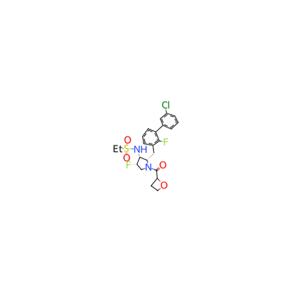 CCS(=O)(=O)N[C@H]1[C@@H](F)CN(C(=O)C2CCO2)[C@H]1Cc1cccc(-c2cccc(Cl)c2)c1F